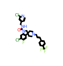 O=C(NCc1ccnc(Cl)c1)N1CC2(CCN(C/C=C/c3ccc(C(F)(F)F)cc3)CC2)c2cc(F)c(Cl)cc21